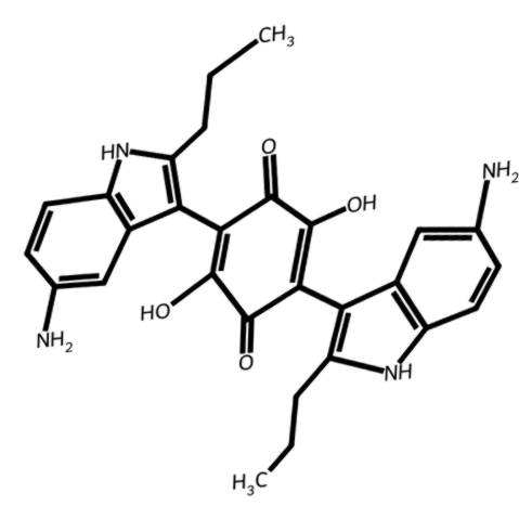 CCCc1[nH]c2ccc(N)cc2c1C1=C(O)C(=O)C(c2c(CCC)[nH]c3ccc(N)cc23)=C(O)C1=O